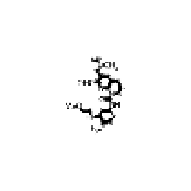 COCCNc1cc(NC(=O)N2CCCc3cc(CN(C)C(C)=O)c(C=O)nc32)ncc1C(F)(F)F